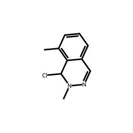 Cc1cccc2c1C(Cl)N(C)N=C2